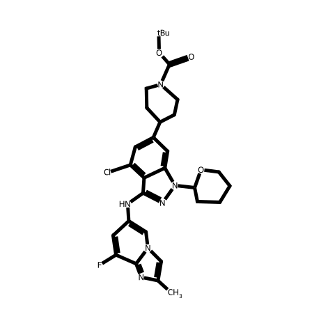 Cc1cn2cc(Nc3nn(C4CCCCO4)c4cc(C5CCN(C(=O)OC(C)(C)C)CC5)cc(Cl)c34)cc(F)c2n1